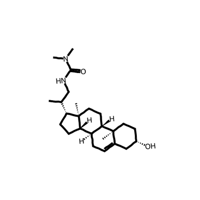 CC(CNC(=O)N(C)C)[C@H]1CC[C@H]2[C@@H]3CC=C4C[C@@H](O)CC[C@]4(C)[C@H]3CC[C@]12C